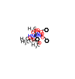 COC(=O)[C@H]([C@@H](NC(=O)OC(C)(C)C)c1ccc(OC)cc1)N(NC(=O)OCc1ccccc1)C(=O)OCc1ccccc1